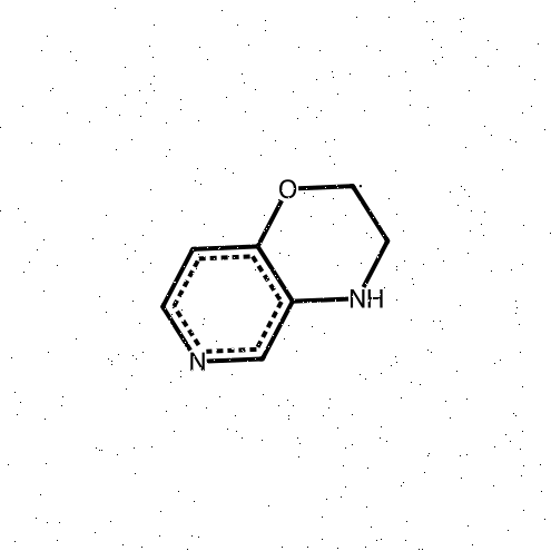 [CH]1CNc2cnccc2O1